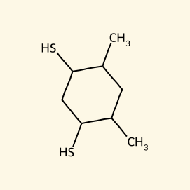 CC1CC(C)C(S)CC1S